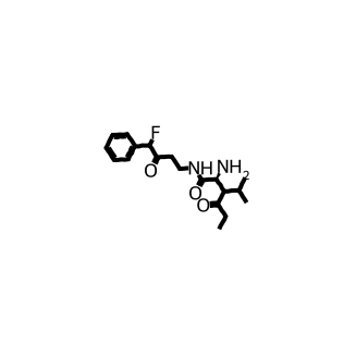 CCC(=O)C(C(C)C)[C@H](N)C(=O)NCCC(=O)C(F)c1ccccc1